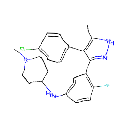 Cc1[nH]nc(-c2cc(NC3CCN(C)CC3)ccc2F)c1-c1ccc(Cl)cc1